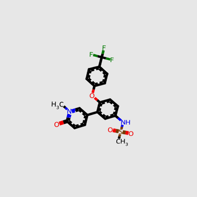 Cn1cc(-c2cc(NS(C)(=O)=O)ccc2Oc2ccc(C(F)(F)F)cc2)ccc1=O